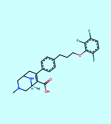 CN1CC2CC(c3ccc(CCCOc4c(F)ccc(F)c4F)cc3)=C(C(=O)O)[C@@H](C1)N2